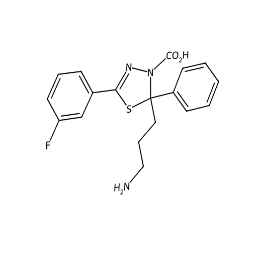 NCCCC1(c2ccccc2)SC(c2cccc(F)c2)=NN1C(=O)O